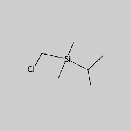 CC(C)[Si](C)(C)CCl